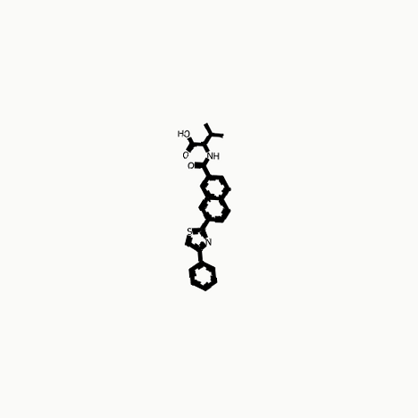 CC(C)C(NC(=O)c1ccc2ccc(-c3nc(-c4ccccc4)cs3)cc2c1)C(=O)O